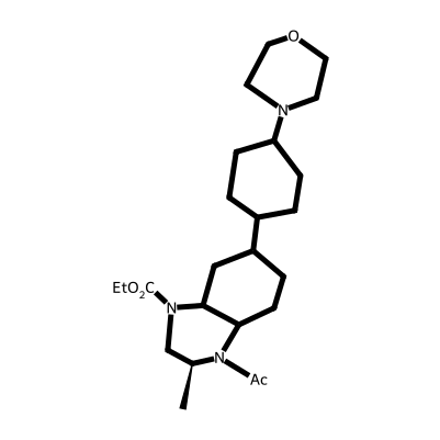 CCOC(=O)N1C[C@H](C)N(C(C)=O)C2CCC(C3CCC(N4CCOCC4)CC3)CC21